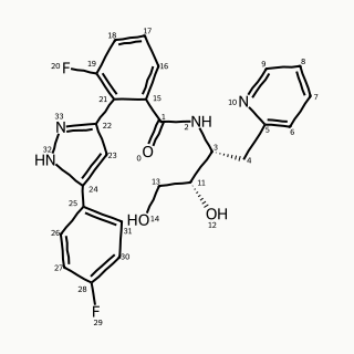 O=C(N[C@H](Cc1ccccn1)[C@H](O)CO)c1cccc(F)c1-c1cc(-c2ccc(F)cc2)[nH]n1